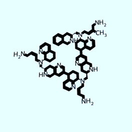 C/C(=C/CN(C[C@H]1Cc2ccccc2CN1)[C@H]1CCC(c2cnc3c(c2)CN[C@@H](CN(C/C=C\CN)[C@H]2CCC(c4cnc5c(c4)CN[C@H](CN(C/C=C\CN)[C@H]4CCCc6cccnc64)C5)c4cccnc42)C3)c2cccnc21)CN